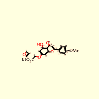 C1=COC1.CCOC(=O)COc1cc(O)c2c(=O)cc(-c3ccc(OC)cc3)oc2c1